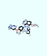 COc1ccc2ncnc(Nc3ccc(Oc4cc5ncnn5cn4)c(C)c3)c2c1N1CC2(C[C@H](F)CN2C)C1